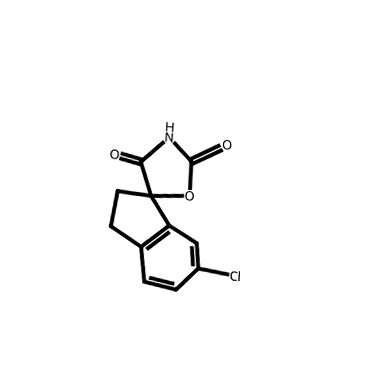 O=C1NC(=O)C2(CCc3ccc(Cl)cc32)O1